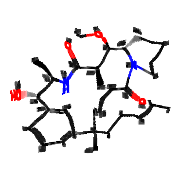 CCCCCC(C)(C)c1cccc([C@H](O)[C@@H](C)NC(=O)[C@H](C)[C@@H](OC)[C@@H]2CCCN2C(=O)CC)c1